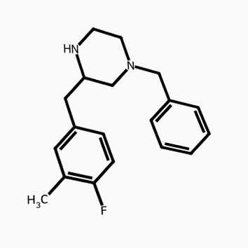 Cc1cc(CC2CN(Cc3ccccc3)CCN2)ccc1F